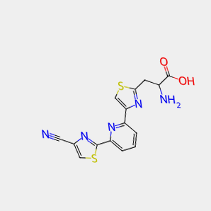 N#Cc1csc(-c2cccc(-c3csc(CC(N)C(=O)O)n3)n2)n1